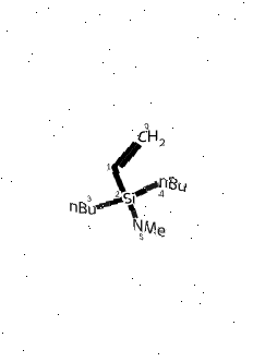 C=C[Si](CCCC)(CCCC)NC